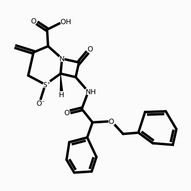 C=C1C[S+]([O-])[C@H]2C(NC(=O)C(OCc3ccccc3)c3ccccc3)C(=O)N2C1C(=O)O